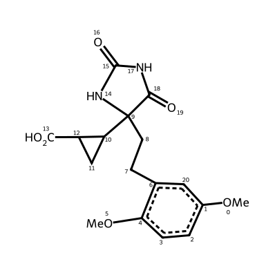 COc1ccc(OC)c(CCC2(C3CC3C(=O)O)NC(=O)NC2=O)c1